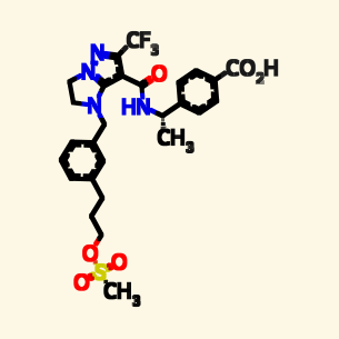 C[C@H](NC(=O)c1c(C(F)(F)F)nn2c1N(Cc1cccc(CCCOS(C)(=O)=O)c1)CC2)c1ccc(C(=O)O)cc1